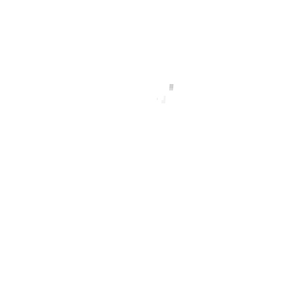 CCCCC(=C(c1cccs1)c1ccccc1C(C)C)c1ccc(C)cc1